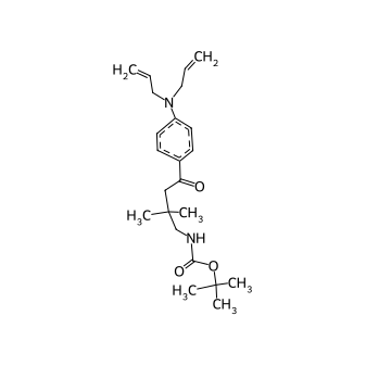 C=CCN(CC=C)c1ccc(C(=O)CC(C)(C)CNC(=O)OC(C)(C)C)cc1